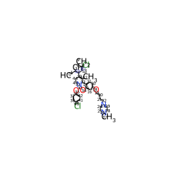 C#C/C(C)=C(/C=C(/Cl)C=C)C1=C(C)C(c2ccc(OCCCCN3CCN(C)CC3)cc2)N(C(=O)Oc2ccc(Cl)cc2)CC1